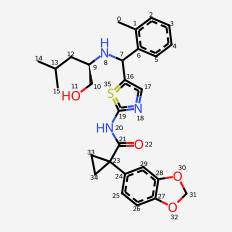 Cc1ccccc1C(N[C@@H](CO)CC(C)C)c1cnc(NC(=O)C2(c3ccc4c(c3)OCO4)CC2)s1